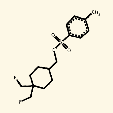 Cc1ccc(S(=O)(=O)OCC2CCC(CF)(CF)CC2)cc1